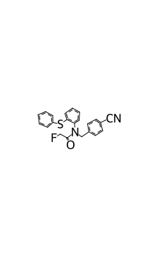 N#Cc1ccc(CN(C(=O)CF)c2ccccc2Sc2ccccc2)cc1